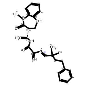 C=C(NC(=O)C(=N)/N=C/C(C)(F)CCc1ccccc1)[C@H]1COc2ccccc2N(C)C1=O